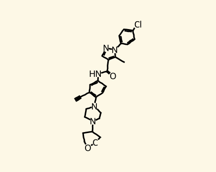 C#Cc1cc(NC(=O)c2cnn(-c3ccc(Cl)cc3)c2C)ccc1N1CCN(C2CCOCC2)CC1